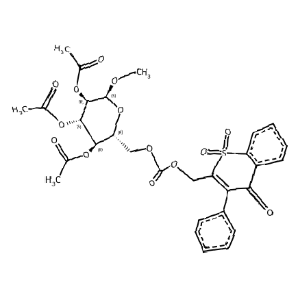 CO[C@H]1O[C@H](COC(=O)OCC2=C(c3ccccc3)C(=O)c3ccccc3S2(=O)=O)[C@@H](OC(C)=O)[C@H](OC(C)=O)[C@H]1OC(C)=O